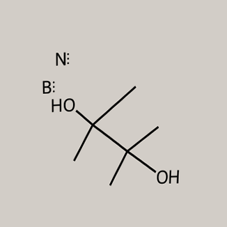 CC(C)(O)C(C)(C)O.[B].[N]